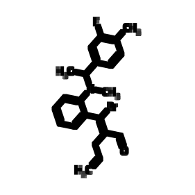 C=CC/C(C=O)=C(/Br)c1ccccc1N(C)C(C)c1ccc(C)c(F)c1